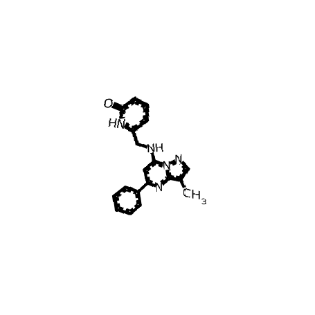 Cc1cnn2c(NCc3cccc(=O)[nH]3)cc(-c3ccccc3)nc12